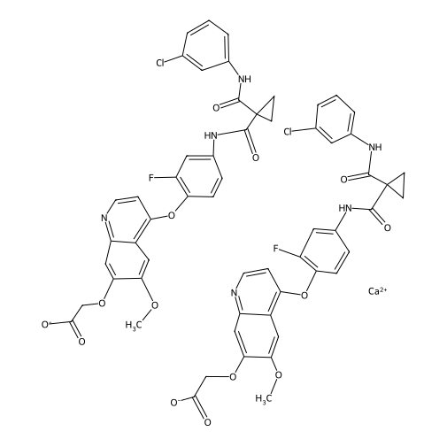 COc1cc2c(Oc3ccc(NC(=O)C4(C(=O)Nc5cccc(Cl)c5)CC4)cc3F)ccnc2cc1OCC(=O)[O-].COc1cc2c(Oc3ccc(NC(=O)C4(C(=O)Nc5cccc(Cl)c5)CC4)cc3F)ccnc2cc1OCC(=O)[O-].[Ca+2]